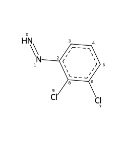 N=Nc1cccc(Cl)c1Cl